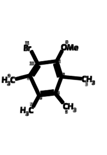 COc1c(C)c(C)c(C)c(C)c1Br